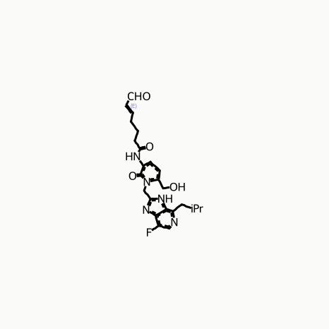 CC(C)Cc1ncc(F)c2nc(Cn3c(CO)ccc(NC(=O)CCC/C=C/C=O)c3=O)[nH]c12